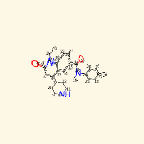 CCn1c(=O)cc(C2CCNCC2)c2cc(C(=O)N(C)c3ccc(C)cc3)ccc21